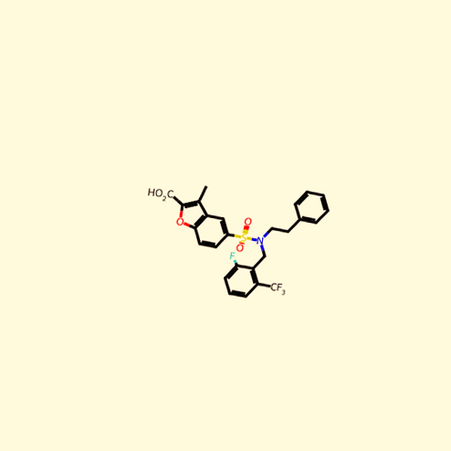 Cc1c(C(=O)O)oc2ccc(S(=O)(=O)N(CCc3ccccc3)Cc3c(F)cccc3C(F)(F)F)cc12